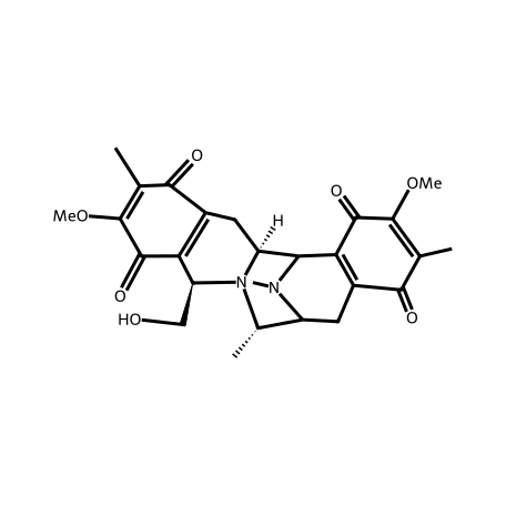 COC1=C(C)C(=O)C2=C(C1=O)C1[C@@H]3CC4=C(C(=O)C(OC)=C(C)C4=O)[C@H](CO)N3[C@@H](C)C(C2)N1C